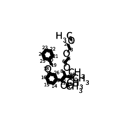 COCCOCCOC/C(=C(/OC)c1cccc(OCc2ccccc2)c1)C(C)(C)C